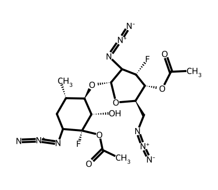 CC(=O)O[C@@H]1[C@@H](CN=[N+]=[N-])O[C@H](O[C@@H]2[C@@H](C)CC(N=[N+]=[N-])[C@](F)(OC(C)=O)[C@H]2O)C(N=[N+]=[N-])[C@@H]1F